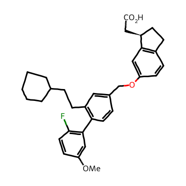 COc1ccc(F)c(-c2ccc(COc3ccc4c(c3)[C@@H](CC(=O)O)CC4)cc2CCC2CCCCC2)c1